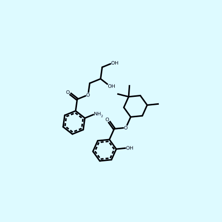 CC1CC(OC(=O)c2ccccc2O)CC(C)(C)C1.Nc1ccccc1C(=O)OCC(O)CO